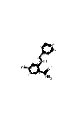 NC(=O)c1cnc(Cl)cc1NCc1ccncc1